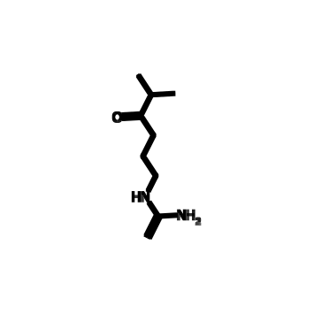 C=C(N)NCCCC(=O)C(C)C